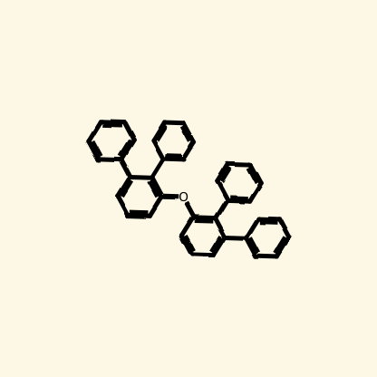 c1ccc(-c2cccc(Oc3cccc(-c4ccccc4)c3-c3ccccc3)c2-c2ccccc2)cc1